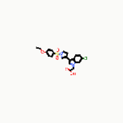 CCOc1ccc(S(=O)(=O)n2ccc(-c3cn(CC(=O)O)c4cc(Cl)ccc34)c2)cc1